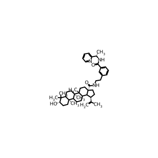 C=C(C)[C@@H]1CC[C@]2(C(=O)NCCc3cccc(C(=O)N[C@@H](C)c4ccccn4)c3)CC[C@]3(C)C(CCC4[C@@]5(C)CC[C@H](O)C(C)(C)C5CC[C@]43C)C12